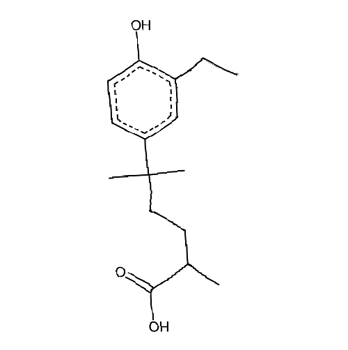 CCc1cc(C(C)(C)CCC(C)C(=O)O)ccc1O